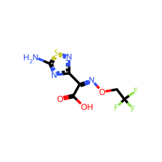 Nc1nc(/C(=N/OCC(F)(F)F)C(=O)O)ns1